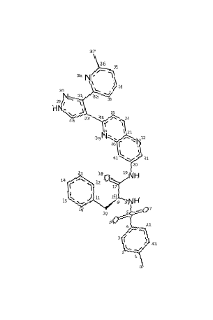 Cc1ccc(S(=O)(=O)N[C@@H](Cc2ccccc2)C(=O)Nc2cnc3ccc(-c4c[nH]nc4-c4cccc(C)n4)nc3c2)cc1